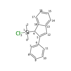 C[Si](C)(Cl)C1C(c2ccccc2)=Cc2ccccc21